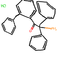 Cl.O=C(c1ccccc1-c1ccccc1)C(P)(c1ccccc1)c1ccccc1